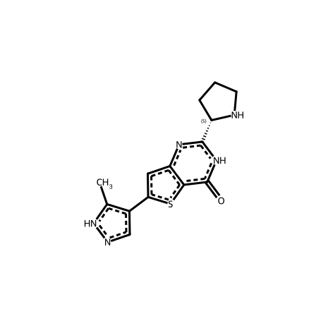 Cc1[nH]ncc1-c1cc2nc([C@@H]3CCCN3)[nH]c(=O)c2s1